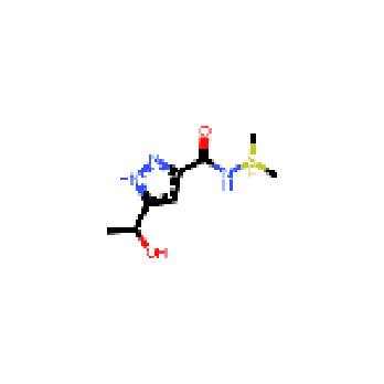 CC(O)c1cc(C(=O)N[SH](C)C)n[nH]1